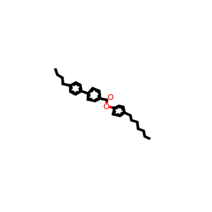 CCCCCCCc1ccc(OC(=O)c2ccc(-c3ccc(CCCC)cc3)cc2)cc1